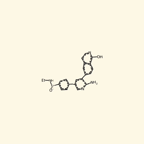 CCN[S+]([O-])c1ccc(-c2cnc(N)c(-c3ccc4c(O)nccc4c3)c2)cc1